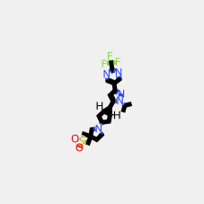 CC(C)n1nc(-c2cnc(C(F)(F)F)nc2)cc1C1[C@H]2CC(N3CCC4(C3)CS(=O)(=O)C4)C[C@@H]12